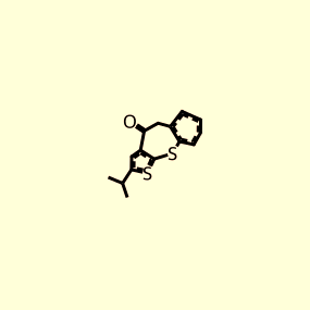 CC(C)c1cc2c(s1)Sc1ccccc1CC2=O